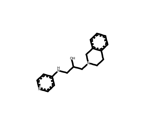 OC(CNc1ccncc1)CN1CCc2ccccc2C1